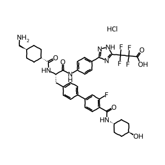 Cl.NC[C@H]1CC[C@H](C(=O)N[C@@H](Cc2ccc(-c3ccc(C(=O)N[C@H]4CC[C@H](O)CC4)c(F)c3)cc2)C(=O)Nc2ccc(-c3n[nH]c(C(F)(F)C(F)(F)C(=O)O)n3)cc2)CC1